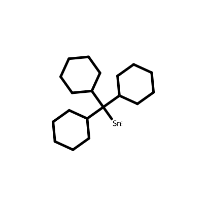 [Sn][C](C1CCCCC1)(C1CCCCC1)C1CCCCC1